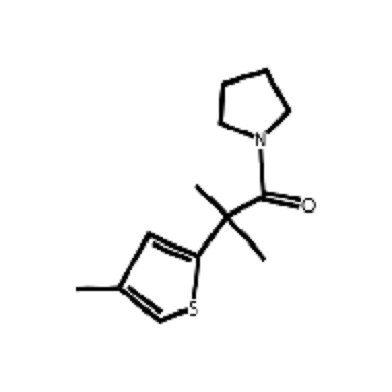 Cc1csc(C(C)(C)C(=O)N2CCCC2)c1